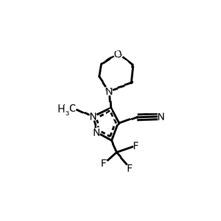 Cn1nc(C(F)(F)F)c(C#N)c1N1CCOCC1